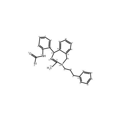 CCC(=O)Nc1ccccc1C1N=C(C)N(CCCc2ccccc2)Cc2ccccc21